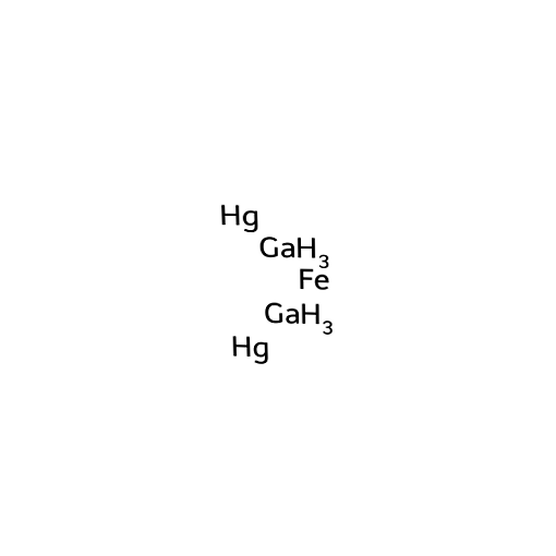 [Fe].[GaH3].[GaH3].[Hg].[Hg]